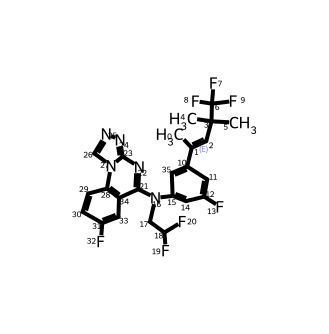 C/C(=C\C(C)(C)C(F)(F)F)c1cc(F)cc(N(CC(F)F)c2nc3nncn3c3ccc(F)cc23)c1